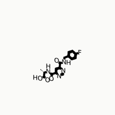 C[C@H](NC(=O)c1cc(C(=O)NCc2ccc(F)cc2)ncn1)C(=O)O